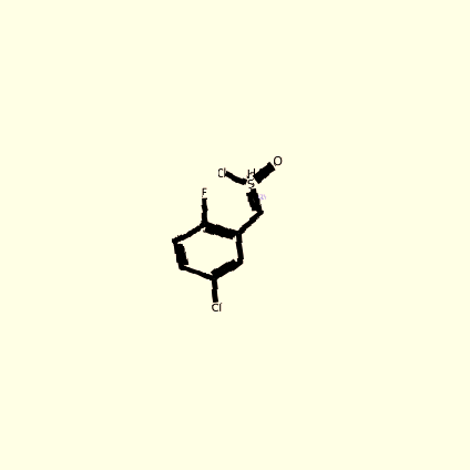 O=[SH](/Cl)=C/c1cc(Cl)ccc1F